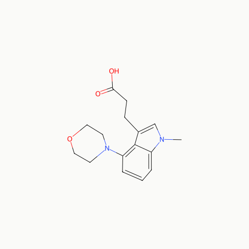 Cn1cc(CCC(=O)O)c2c(N3CCOCC3)cccc21